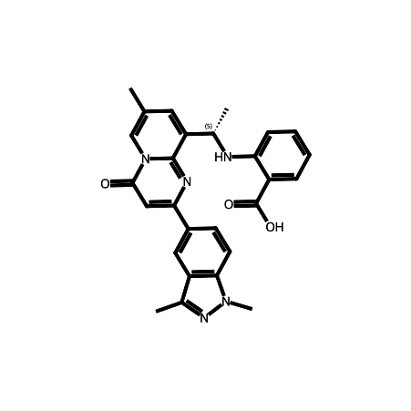 Cc1cc([C@H](C)Nc2ccccc2C(=O)O)c2nc(-c3ccc4c(c3)c(C)nn4C)cc(=O)n2c1